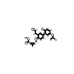 COC(=O)[C@@H]1C[C@H]1COc1ccc(-c2cc(OC(C)C)ccc2F)cc1CC=O